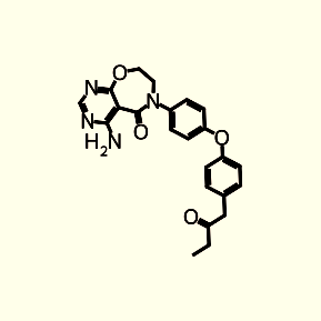 CCC(=O)Cc1ccc(Oc2ccc(N3CCOc4ncnc(N)c4C3=O)cc2)cc1